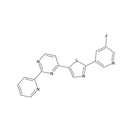 Fc1cncc(-c2ncc(-c3ccnc(-c4ccccn4)n3)s2)c1